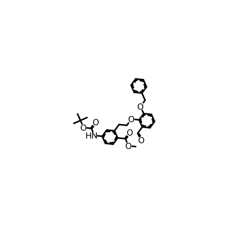 COC(=O)c1ccc(NC(=O)OC(C)(C)C)cc1CCOc1c(C=O)cccc1OCc1ccccc1